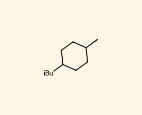 [CH2]CC(C)C1CCC(C)CC1